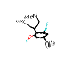 CNCC(CC=O)c1c(F)cc(OC)cc1OF